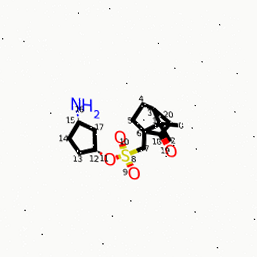 CC1(C)C2CCC1(CS(=O)(=O)O[C@@H]1CC[C@H](N)C1)C(=O)C2